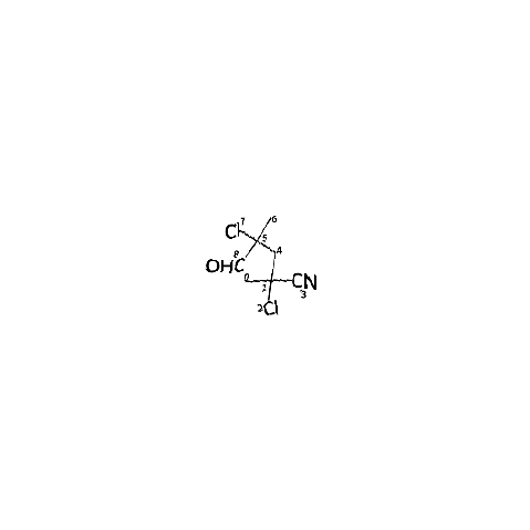 CC(Cl)(C#N)CC(C)(Cl)C=O